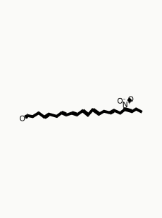 CC/C=C(/C/C=C/C/C=C/C=C/C=C/C=C/C/C=C/CC[C]=O)[N+](=O)[O-]